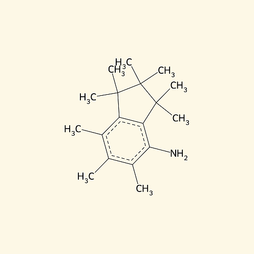 Cc1c(C)c(N)c2c(c1C)C(C)(C)C(C)(C)C2(C)C